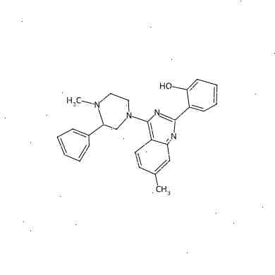 Cc1ccc2c(N3CCN(C)C(c4ccccc4)C3)nc(-c3ccccc3O)nc2c1